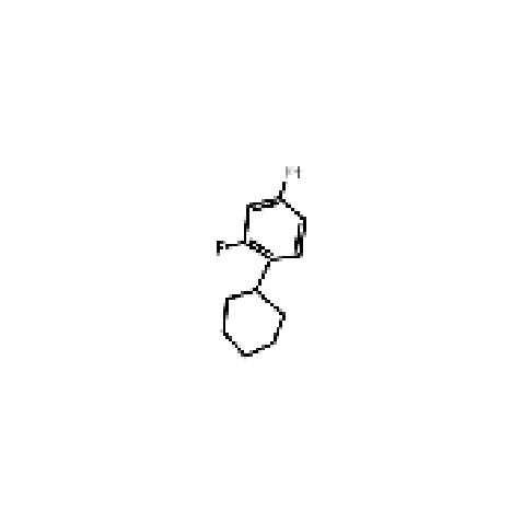 CCc1ccc(C2CCCCC2)c(F)c1